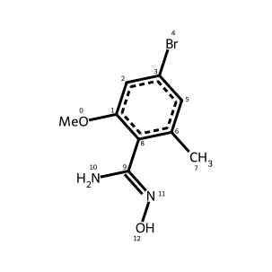 COc1cc(Br)cc(C)c1/C(N)=N/O